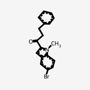 Cn1c(C(=O)CCc2ccccc2)cc2cc(Br)ccc21